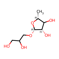 C[C@H]1O[C@@H](OCC(O)CO)[C@@H](O)C1O